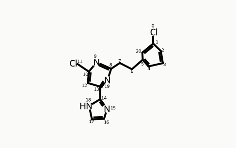 Clc1cccc(CCc2nc(Cl)cc(-c3ncc[nH]3)n2)c1